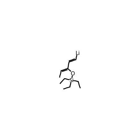 [Li][CH]=CC(=CC)O[Si](CC)(CC)CC